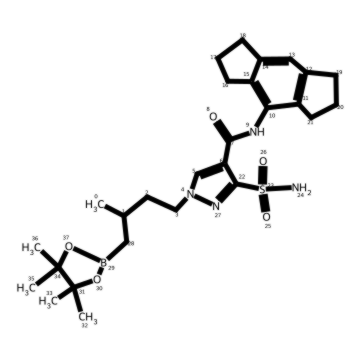 CC(CCn1cc(C(=O)Nc2c3c(cc4c2CCC4)CCC3)c(S(N)(=O)=O)n1)CB1OC(C)(C)C(C)(C)O1